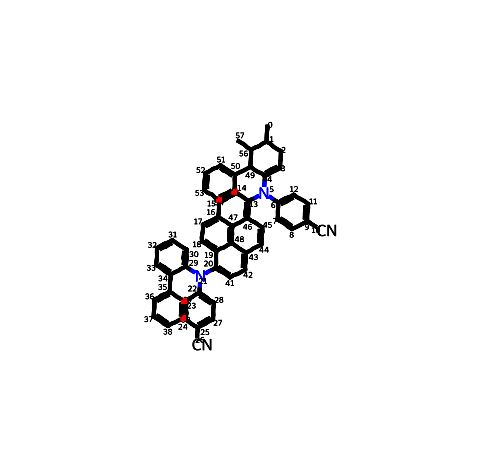 CC1CC=C(N(c2ccc(C#N)cc2)c2ccc3ccc4c(N(c5ccc(C#N)cc5)c5ccccc5-c5ccccc5)ccc5ccc2c3c54)C(c2ccccc2)C1C